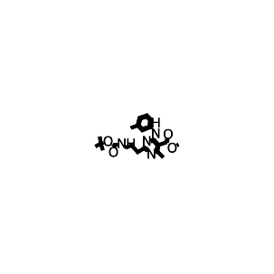 COC(=O)c1c(C)nc(CCCNC(=O)OC(C)(C)C)nc1Nc1cccc(C)c1